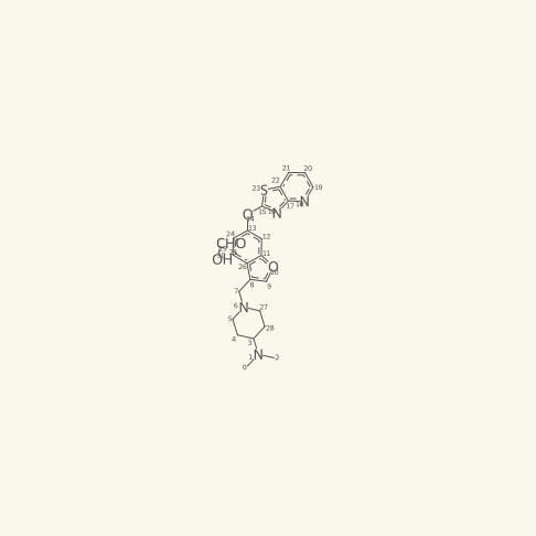 CN(C)C1CCN(Cc2coc3cc(Oc4nc5ncccc5s4)ccc23)CC1.O=CO